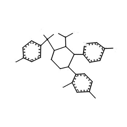 CC1OC(O)(c2ccc(Cl)cc2)C2CCC(c3ccc(Cl)cc3Cl)C(c3ccc(Br)cn3)C12